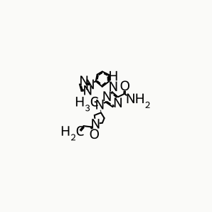 C=CC(=O)N1CC[C@@H](N(C)c2cnc(C(N)=O)c(Nc3cccc(-n4nccn4)c3)n2)C1